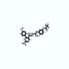 COc1ccc(-c2nc(N(C)C)ncc2C(=O)CNC(O)Cc2cccc(OC(=O)C(C)(C)C)c2)cc1